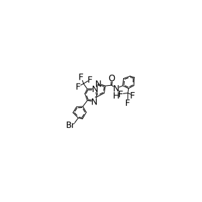 O=C(Nc1ccccc1C(F)(F)F)c1cc2nc(-c3ccc(Br)cc3)cc(C(F)(F)F)n2n1